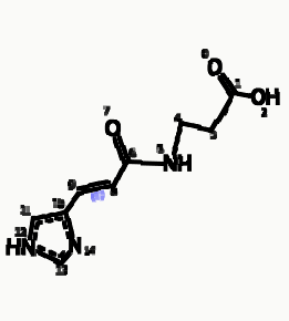 O=C(O)CCNC(=O)/C=C/c1c[nH]cn1